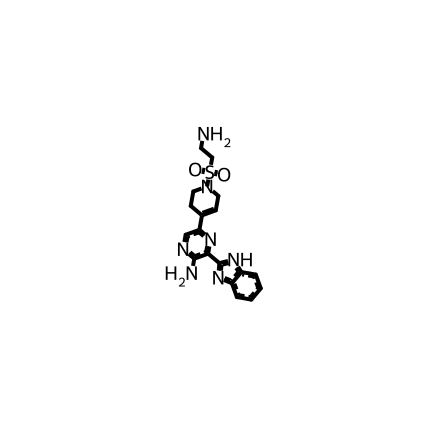 NCCS(=O)(=O)N1CC=C(c2cnc(N)c(-c3nc4ccccc4[nH]3)n2)CC1